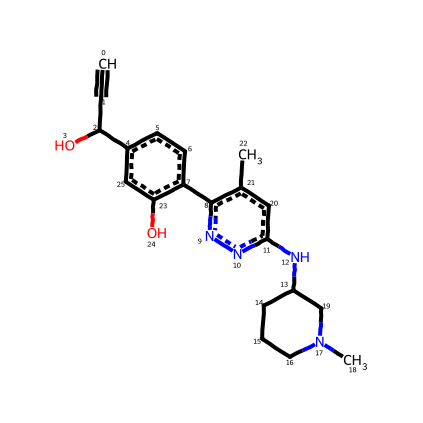 C#CC(O)c1ccc(-c2nnc(NC3CCCN(C)C3)cc2C)c(O)c1